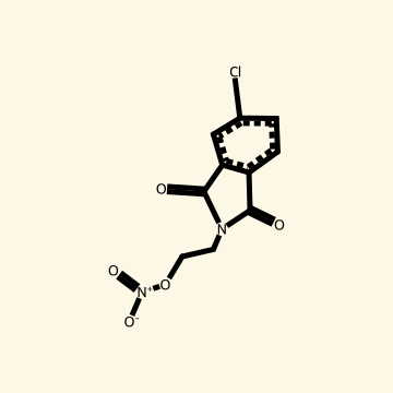 O=C1c2ccc(Cl)cc2C(=O)N1CCO[N+](=O)[O-]